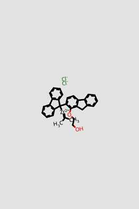 C[C](C)=[Zr+2][C]1(c2ccc3c(c2OCCO)Cc2ccccc2-3)c2ccccc2-c2ccccc21.[Cl-].[Cl-]